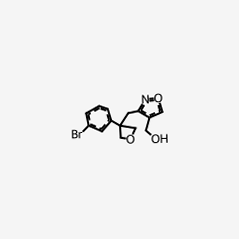 OCc1conc1CC1(c2cccc(Br)c2)COC1